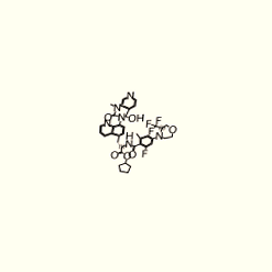 Cc1cc(N2CCOC[C@@H]2C(F)(F)F)cc(F)c1C(=O)N[C@@H](Cc1ccc(N2C(=O)N(C)c3cnccc3C2O)c2ncccc12)C(=O)OC1CCCC1